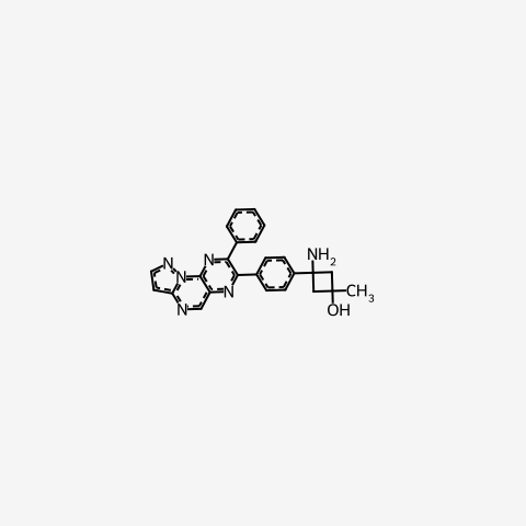 CC1(O)CC(N)(c2ccc(-c3nc4cnc5ccnn5c4nc3-c3ccccc3)cc2)C1